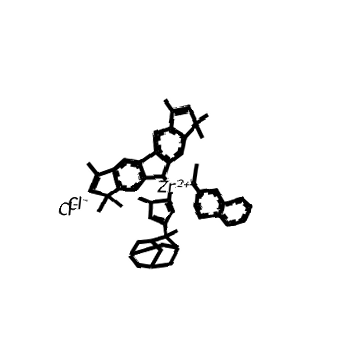 CC1=CC(C)(C)c2cc3c(cc21)-c1cc2c(cc1[CH]3/[Zr+2]([C]1=CC(C3(C)C4CC5CC(C4)CC3C5)=CC1C)=[C](\C)c1ccc3ccccc3c1)C(C)(C)C=C2C.[Cl-].[Cl-]